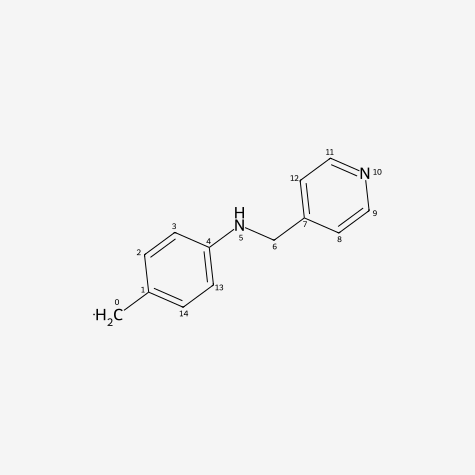 [CH2]c1ccc(NCc2ccncc2)cc1